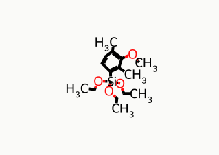 CCO[Si](OCC)(OCC)c1ccc(C)c(OC)c1C